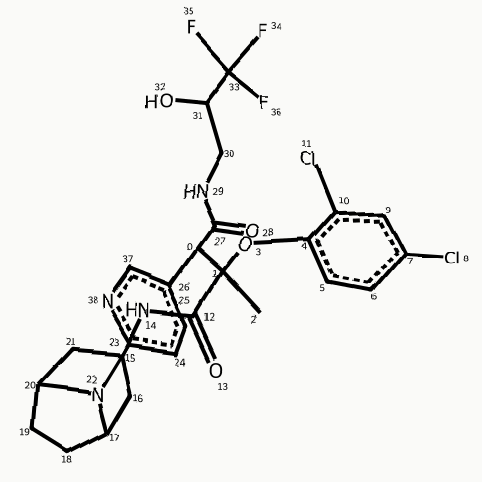 CC(C)(Oc1ccc(Cl)cc1Cl)C(=O)NC1CC2CCC(C1)N2c1ccc(C(=O)NCC(O)C(F)(F)F)cn1